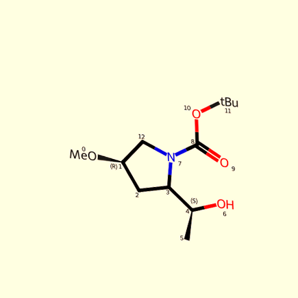 CO[C@@H]1CC([C@H](C)O)N(C(=O)OC(C)(C)C)C1